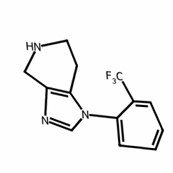 FC(F)(F)c1ccccc1-n1cnc2c1CCNC2